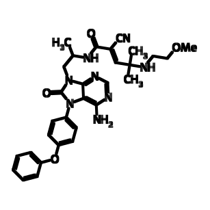 COCCNC(C)(C)C=C(C#N)C(=O)NC(C)Cn1c(=O)n(-c2ccc(Oc3ccccc3)cc2)c2c(N)ncnc21